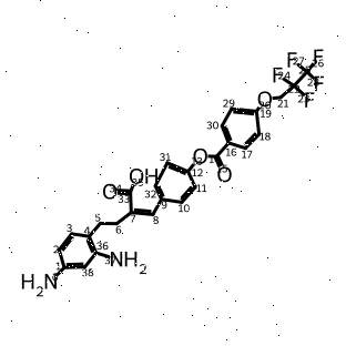 Nc1ccc(CCC(=Cc2ccc(OC(=O)c3ccc(OCC(F)(F)C(F)(F)F)cc3)cc2)C(=O)O)c(N)c1